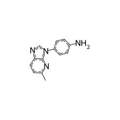 Cc1ccc2ncn(-c3ccc(N)cc3)c2n1